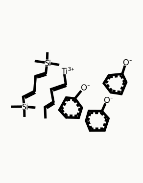 CC=CC=[CH][Ti+3].C[Si](C)(C)C=CC=C[Si](C)(C)C.[O-]c1ccccc1.[O-]c1ccccc1.[O-]c1ccccc1